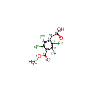 COC(=O)c1c(F)c(F)c(CC(=O)O)c(F)c1F